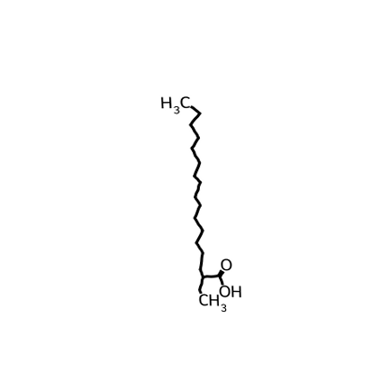 CCCCCCCCCCCCCCCC(CC)C(=O)O